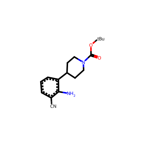 CC(C)(C)OC(=O)N1CCC(c2cccc(C#N)c2N)CC1